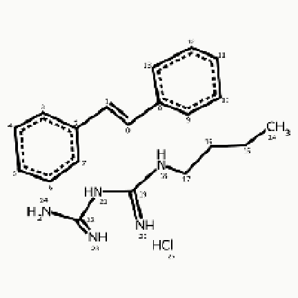 C(=Cc1ccccc1)c1ccccc1.CCCCNC(=N)NC(=N)N.Cl